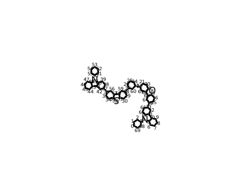 c1ccc(-n2c3ccccc3c3cc(-c4ccc5oc6ccc(-c7cccc(-c8ccc9sc%10ccc(-c%11ccc%12c(c%11)c%11ccccc%11n%12-c%11ccccc%11)cc%10c9c8)c7)cc6c5c4)ccc32)cc1